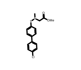 COC(=O)CN(C)Sc1ccc(-c2ccc(Cl)cc2)cc1